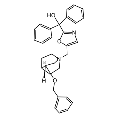 OC(c1ccccc1)(c1ccccc1)c1ncc(C[N+]23CCC(CC2)[C@@H](OCc2ccccc2)C3)o1